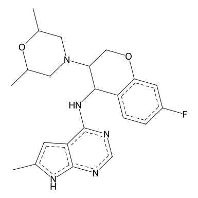 Cc1cc2c(NC3c4ccc(F)cc4OCC3N3CC(C)OC(C)C3)ncnc2[nH]1